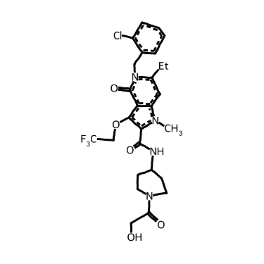 CCc1cc2c(c(OCC(F)(F)F)c(C(=O)NC3CCN(C(=O)CO)CC3)n2C)c(=O)n1Cc1ccccc1Cl